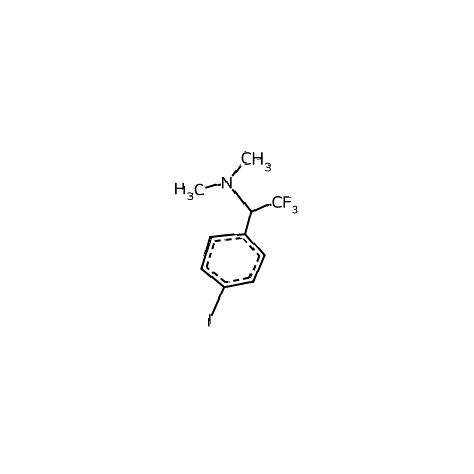 CN(C)C(c1ccc(I)cc1)C(F)(F)F